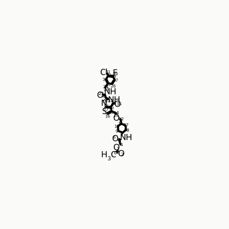 CC(=O)OCC(=O)NC1CCC(COCc2csc3nc(C(=O)NCc4ccc(F)c(Cl)c4)[nH]c(=O)c23)CC1